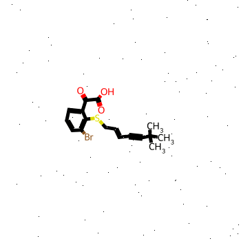 CC(C)(C)C#C/C=C/CSc1c(Br)cccc1C(=O)C(=O)O